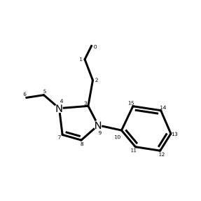 CCCC1N(CC)C=CN1c1ccccc1